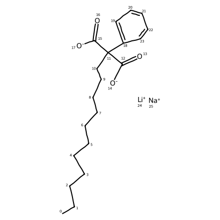 CCCCCCCCCCCC(C(=O)[O-])(C(=O)[O-])c1ccccc1.[Li+].[Na+]